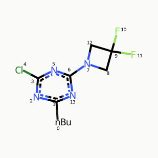 CCCCc1nc(Cl)nc(N2CC(F)(F)C2)n1